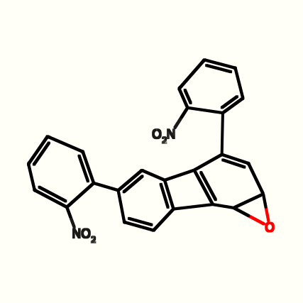 O=[N+]([O-])c1ccccc1C1=CC2OC2C2=C1c1cc(-c3ccccc3[N+](=O)[O-])ccc12